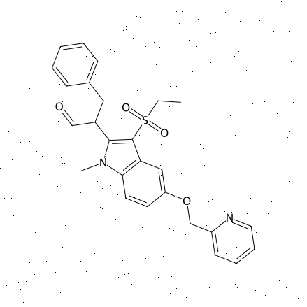 CCS(=O)(=O)c1c(C(C=O)Cc2ccccc2)n(C)c2ccc(OCc3ccccn3)cc12